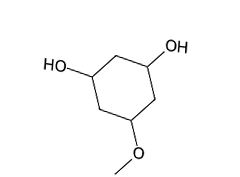 COC1CC(O)CC(O)C1